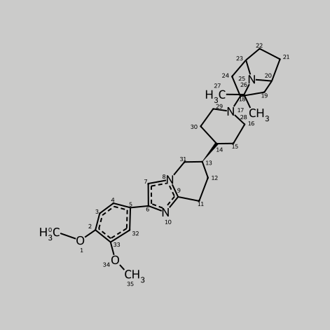 COc1ccc(-c2cn3c(n2)CC[C@H](C2CCN(C4CC5CCC(C4)N5C(C)C)CC2)C3)cc1OC